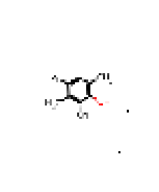 CCCc1cc(C)c(O)c(C#N)c1C